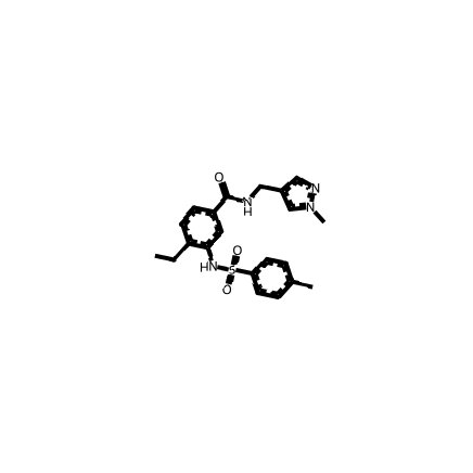 CCc1ccc(C(=O)NCc2cnn(C)c2)cc1NS(=O)(=O)c1ccc(C)cc1